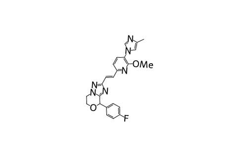 COc1nc(C=Cc2nc3n(n2)CCOC3c2ccc(F)cc2)ccc1-n1cnc(C)c1